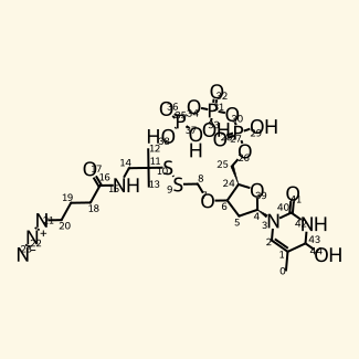 CC1=CN([C@H]2CC(OCSSC(C)(C)CNC(=O)CCCN=[N+]=[N-])[C@@H](COP(=O)(O)OP(=O)(O)OP(=O)(O)O)O2)C(=O)NC1O